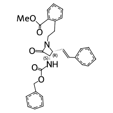 COC(=O)c1ccccc1CCN1C(=O)[C@@H](NC(=O)OCc2ccccc2)[C@H]1C=Cc1ccccc1